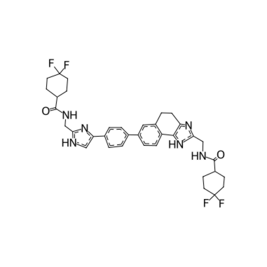 O=C(NCc1nc(-c2ccc(-c3ccc4c(c3)CCc3nc(CNC(=O)C5CCC(F)(F)CC5)[nH]c3-4)cc2)c[nH]1)C1CCC(F)(F)CC1